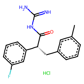 Cc1cccc(C[C@@H](C(=O)NC(=N)N)c2cccc(F)c2)c1.Cl